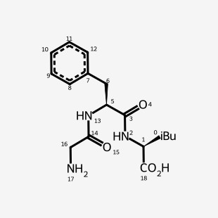 CCC(C)[C@H](NC(=O)[C@H](Cc1ccccc1)NC(=O)CN)C(=O)O